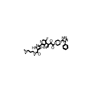 CN(C)CCCN(C)C(=O)c1cc(-c2ncc(F)c3c(C(=O)C(=O)N4CCN(c5nnnn5-c5ccccc5)CC4)c[nH]c23)n[nH]1